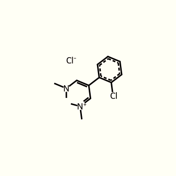 CN(C)/C=C(\C=[N+](C)C)c1ccccc1Cl.[Cl-]